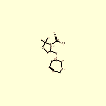 CC1(C)OCC(C[C@H]2CC=CCOC2)N1C(=O)O